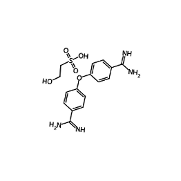 N=C(N)c1ccc(Oc2ccc(C(=N)N)cc2)cc1.O=S(=O)(O)CCO